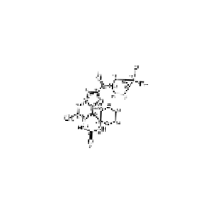 O=C1Nc2c(Cl)cc3cc(C(=O)N4CCC5C(C4)C5(F)F)oc3c2C2(CCCCC2)N1